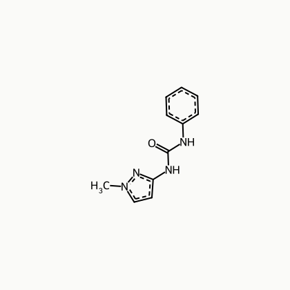 Cn1ccc(NC(=O)Nc2ccccc2)n1